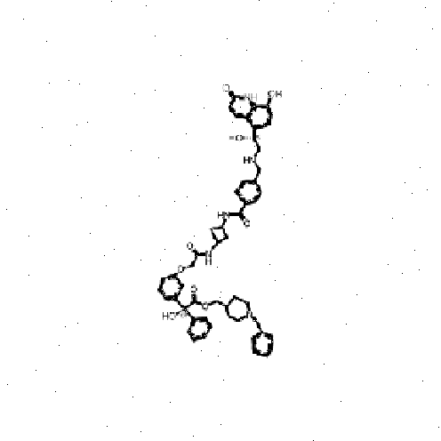 O=C(COc1cccc([C@](O)(C(=O)OCC2CCN(Cc3ccccc3)CC2)c2ccccc2)c1)NC1CC(NC(=O)c2ccc(CNC[C@H](O)c3ccc(O)c4[nH]c(=O)ccc34)cc2)C1